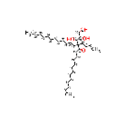 CCCCCCCCCCCCC(=O)C(CCCC)(CCCCCCCCCCCC)C(O)[C@@H](O)CO